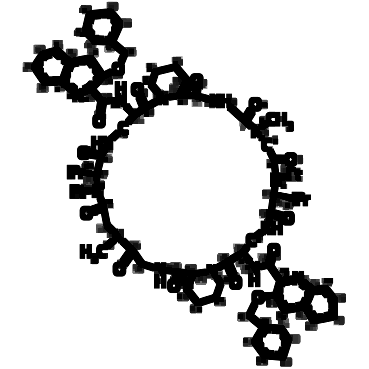 CCN1C(=O)CN(C)C(=O)CNC(=O)[C@@H]2CCCCN2C(=O)[C@H](NC(=O)c2nc3ccccc3cc2OCc2ccccc2)CNC(=O)[C@H](C(C)C)N(CC)C(=O)CN(C)C(=O)CNC(=O)[C@@H]2CCCCN2C(=O)[C@H](NC(=O)c2nc3ccccc3cc2OCc2ccccc2)CNC(=O)[C@@H]1C(C)C